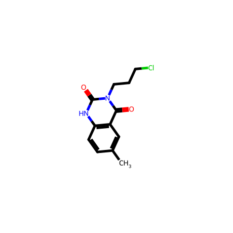 Cc1ccc2[nH]c(=O)n(CCCCl)c(=O)c2c1